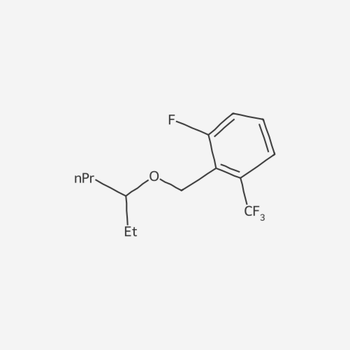 CCCC(CC)OCc1c(F)cccc1C(F)(F)F